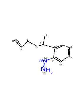 C=CCCC(C)c1ccccc1NN